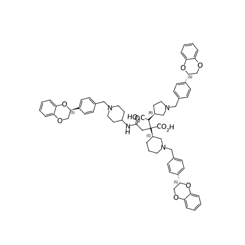 O=C(CC(C(=O)O)(C(C(=O)O)[C@H]1CCN(Cc2ccc([C@H]3COc4ccccc4O3)cc2)C1)[C@@H]1CCCN(Cc2ccc([C@H]3COc4ccccc4O3)cc2)C1)NC1CCN(Cc2ccc([C@H]3COc4ccccc4O3)cc2)CC1